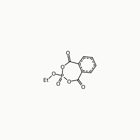 CCOP1(=O)OC(=O)c2ccccc2C(=O)O1